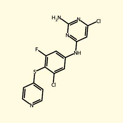 Nc1nc(Cl)cc(Nc2cc(F)c(Sc3ccncc3)c(Cl)c2)n1